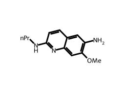 CCCNc1ccc2cc(N)c(OC)cc2n1